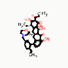 CCC(=O)C1=C(O)[C@@H](CC)C2C[C@@H]3Cc4c(-c5cc(CN6CCOCC6)ccc5CC)ccc(O)c4C(=O)C3=C(O)[C@]2(O)C1=O